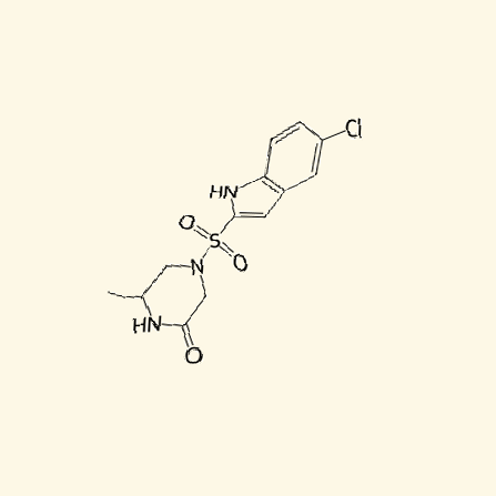 CC1CN(S(=O)(=O)c2cc3cc(Cl)ccc3[nH]2)CC(=O)N1